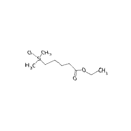 CCOC(=O)CCCC[Si](C)(C)Cl